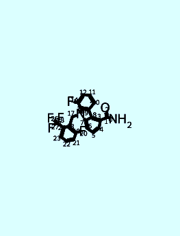 NC(=O)c1cccc2c1c1[c]ccc(F)c1n2Cc1c(F)cccc1C(F)(F)F